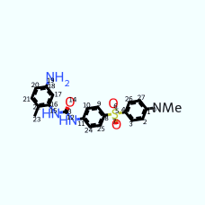 CNc1ccc(S(=O)(=O)c2ccc(NC(=O)Nc3cc(N)ccc3C)cc2)cc1